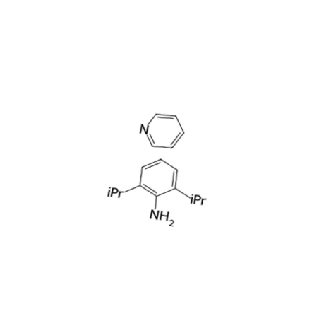 CC(C)c1cccc(C(C)C)c1N.c1ccncc1